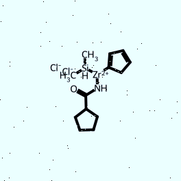 C[SiH](C)[Zr+2]([NH]C(=O)C1CCCC1)[C]1=CC=CC1.[Cl-].[Cl-]